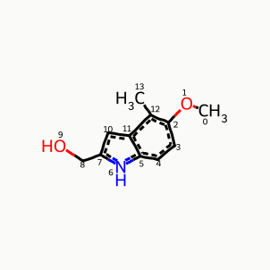 COc1ccc2[nH]c(CO)cc2c1C